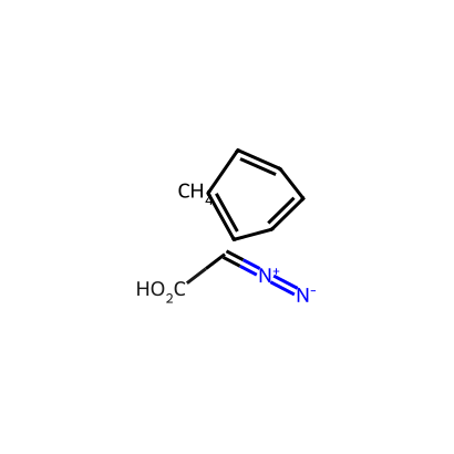 C.[N-]=[N+]=CC(=O)O.c1ccccc1